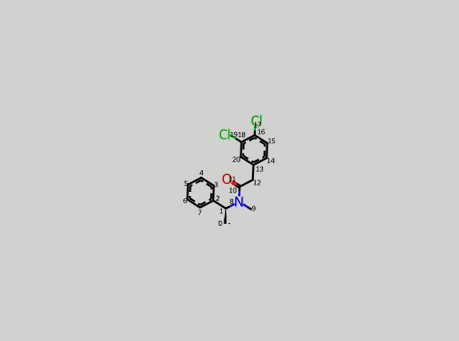 [CH2][C@@H](c1ccccc1)N(C)C(=O)Cc1ccc(Cl)c(Cl)c1